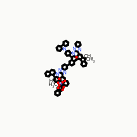 CC1(C)c2ccccc2-c2ccc(-c3nc4cc(-c5ccc6ccc7c(c6c5)c5ccc(-n6c8ccccc8c8ccccc86)cc5n7-c5nc6ccccc6nc5-c5ccc6c(c5)C(C)(C)c5ccccc5-6)ccc4nc3-n3c4cc(-n5c6ccccc6c6cc7ccccc7cc65)ccc4c4c5ccccc5ccc43)cc21